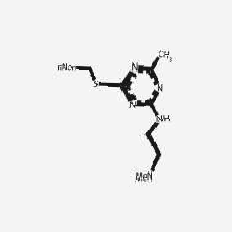 CCCCCCCCCCSc1nc(C)nc(NCCNC)n1